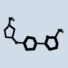 CN1CCC(Oc2ccc(-c3cccc(N)n3)cc2)C1